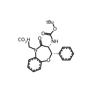 CC(C)(C)OC(=O)N[C@H]1C(=O)N(CC(=O)O)c2ccccc2O[C@H]1c1ccccc1